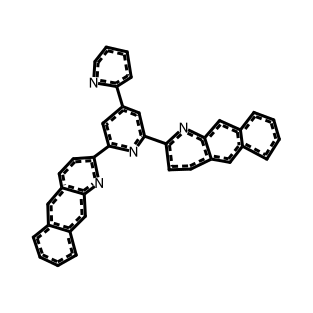 c1ccc(-c2cc(-c3ccc4cc5ccccc5cc4n3)nc(-c3ccc4cc5ccccc5cc4n3)c2)nc1